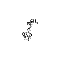 COC(=O)COCCCCN1C(=O)CCCC1C=O